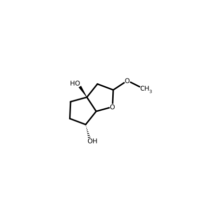 COC1C[C@@]2(O)CC[C@@H](O)C2O1